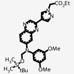 CCOC(=O)Cn1cc(-c2cnc3ccc(N(CO[Si](C)(C)C(C)(C)C)c4cc(OC)cc(OC)c4)cc3n2)cn1